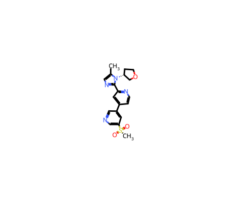 Cc1cnc(-c2cc(-c3cncc(S(C)(=O)=O)c3)ccn2)n1[C@@H]1CCOC1